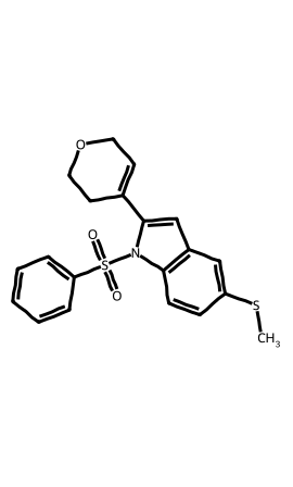 CSc1ccc2c(c1)cc(C1=CCOCC1)n2S(=O)(=O)c1ccccc1